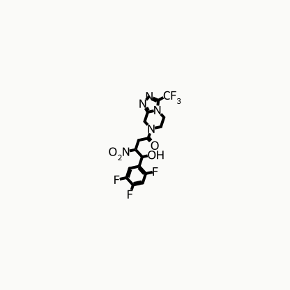 O=C(CC(C(O)c1cc(F)c(F)cc1F)[N+](=O)[O-])N1CCn2c(nnc2C(F)(F)F)C1